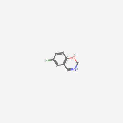 Fc1ccc2c(c1)C=NCO2